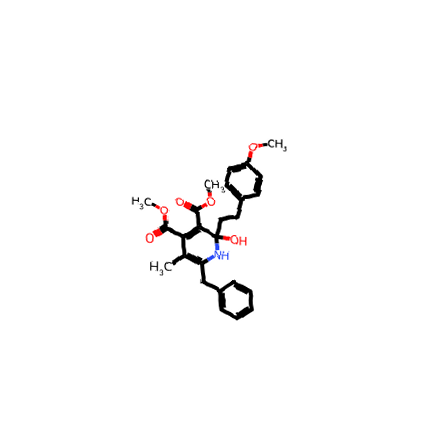 COC(=O)C1=C(C(=O)OC)C(O)(CCc2ccc(OC)cc2)NC(Cc2ccccc2)=C1C